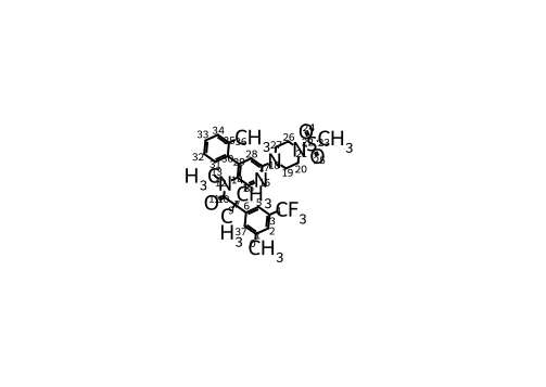 Cc1cc(C(F)(F)F)cc(C(C)(C)C(=O)N(C)c2cnc(N3CCN(S(C)(=O)=O)CC3)cc2-c2ccccc2C)c1